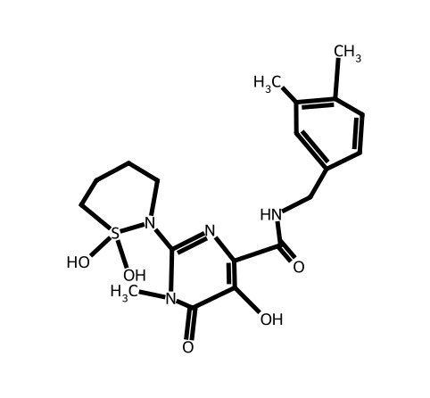 Cc1ccc(CNC(=O)c2nc(N3CCCCS3(O)O)n(C)c(=O)c2O)cc1C